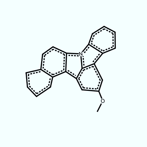 COc1cc2c3ccccc3n3c4ccc5ccccc5c4c(c1)c23